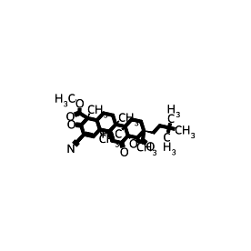 COC(=O)[C@]1(C)C(=O)C(C#N)=C[C@]2(C)C3=CC(=O)[C@@]45OC(=O)[C@@](CCC(C)(C)C)(CC[C@@]4(C)[C@]3(C)CCC12)C5C